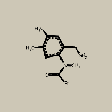 Cc1cc(CN)c(N(C)C(=O)C(C)C)cc1C